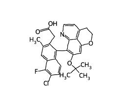 Cc1cc2c(F)c(Cl)ccc2c(-c2c(OC(C)(C)C)cc3c4c(ccnc24)CCO3)c1CC(=O)O